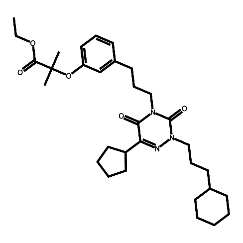 CCOC(=O)C(C)(C)Oc1cccc(CCCn2c(=O)c(C3CCCC3)nn(CCCC3CCCCC3)c2=O)c1